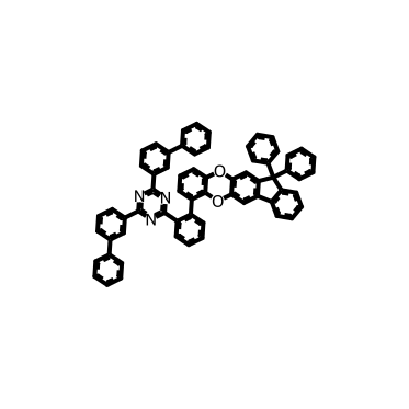 c1ccc(-c2cccc(-c3nc(-c4cccc(-c5ccccc5)c4)nc(-c4ccccc4-c4cccc5c4Oc4cc6c(cc4O5)C(c4ccccc4)(c4ccccc4)c4ccccc4-6)n3)c2)cc1